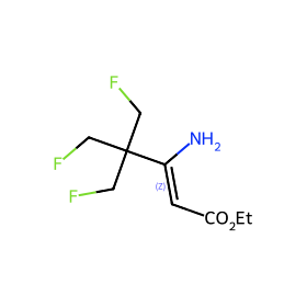 CCOC(=O)/C=C(\N)C(CF)(CF)CF